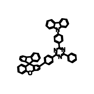 C1=CC2c3ccccc3C3(c4ccccc4Oc4ccc(-c5ccc(-c6nc(-c7ccccc7)nc(-c7ccc(-n8c9ccccc9c9ccccc98)cc7)n6)cc5)cc43)C2C=C1